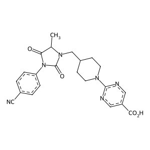 CC1C(=O)N(c2ccc(C#N)cc2)C(=O)N1CC1CCN(c2ncc(C(=O)O)cn2)CC1